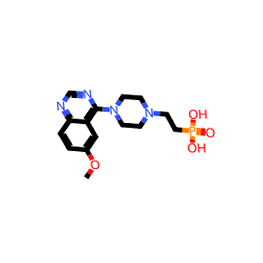 COc1ccc2ncnc(N3CCN(CCP(=O)(O)O)CC3)c2c1